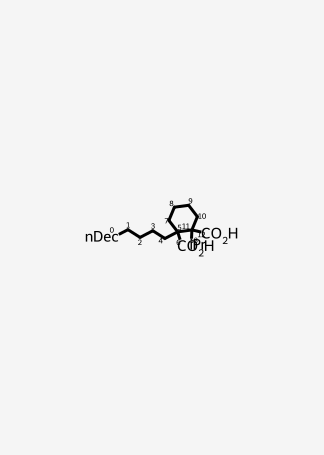 CCCCCCCCCCCCCCC1(C(=O)O)CCCCC1(C(=O)O)C(C)C